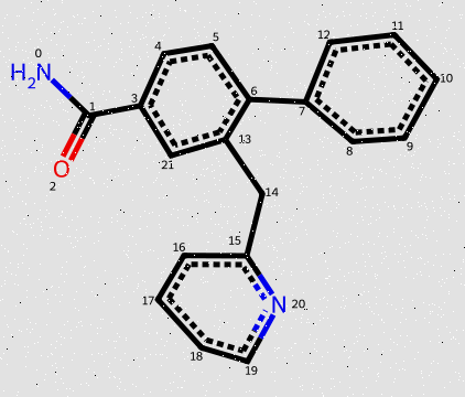 NC(=O)c1ccc(-c2ccccc2)c(Cc2ccccn2)c1